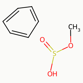 COS(=O)O.c1ccccc1